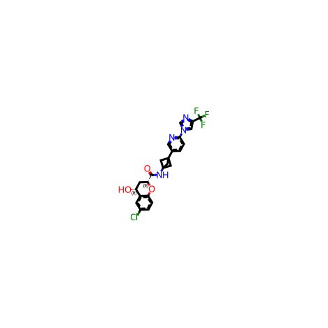 O=C(NC12CC(c3ccc(-n4cnc(C(F)(F)F)c4)nc3)(C1)C2)[C@H]1C[C@@H](O)c2cc(Cl)ccc2O1